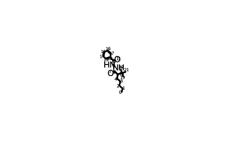 CCCCCC(C(=O)NNC(=O)c1ccccc1)C(C)(C)C